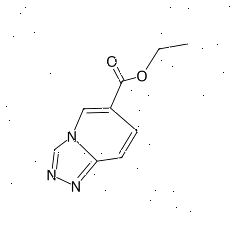 CCOC(=O)c1ccc2nncn2c1